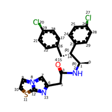 C[C@@H](NC(=O)Cc1cn2ccsc2n1)[C@H](Cc1ccc(Cl)cc1)c1ccc(Cl)cc1